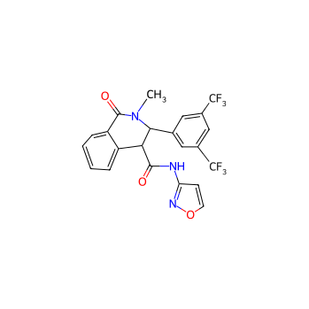 CN1C(=O)c2ccccc2C(C(=O)Nc2ccon2)C1c1cc(C(F)(F)F)cc(C(F)(F)F)c1